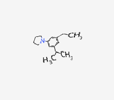 CCc1cc(C(C)C)cc(N2CCCC2)c1